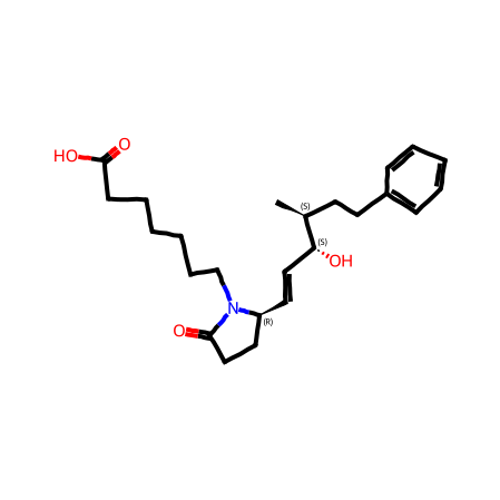 C[C@@H](CCc1ccccc1)[C@H](O)C=C[C@H]1CCC(=O)N1CCCCCCC(=O)O